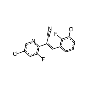 N#CC(=Cc1cccc(Cl)c1F)c1ncc(Cl)cc1F